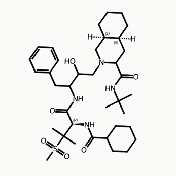 CC(C)(C)NC(=O)C1C[C@@H]2CCCC[C@@H]2CN1CC(O)C(Cc1ccccc1)NC(=O)[C@@H](NC(=O)C1CCCCC1)C(C)(C)S(C)(=O)=O